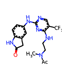 CC(=O)N(C)CCNc1nc(Nc2ccc3c(c2)CC(=O)N3)ncc1C(F)(F)F